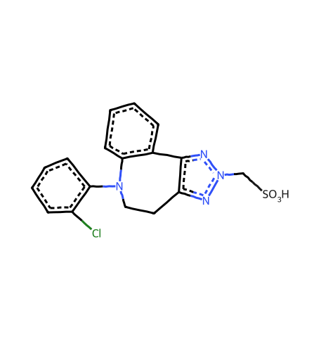 O=S(=O)(O)Cn1nc2c(n1)-c1ccccc1N(c1ccccc1Cl)CC2